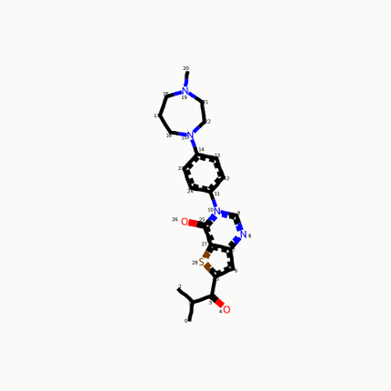 CC(C)C(=O)c1cc2ncn(-c3ccc(N4CCCN(C)CC4)cc3)c(=O)c2s1